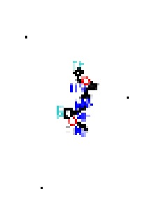 CCn1nccc1C(=O)N[C@H](c1cn2ncc([C@H](NC(=O)CC3CC(F)(F)C3)C3CCC3)cc2n1)C1CCC(F)(F)CC1